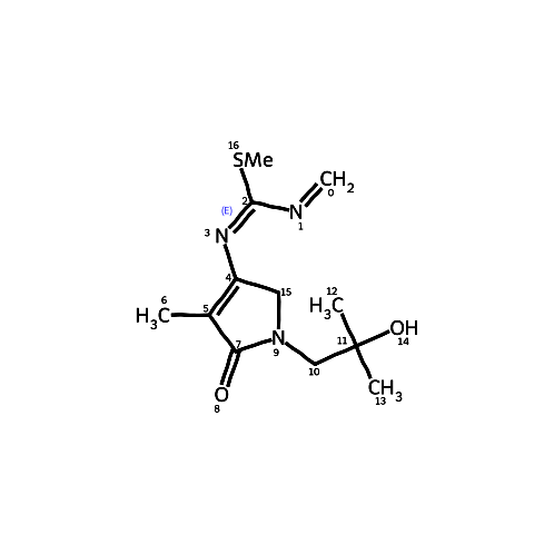 C=N/C(=N\C1=C(C)C(=O)N(CC(C)(C)O)C1)SC